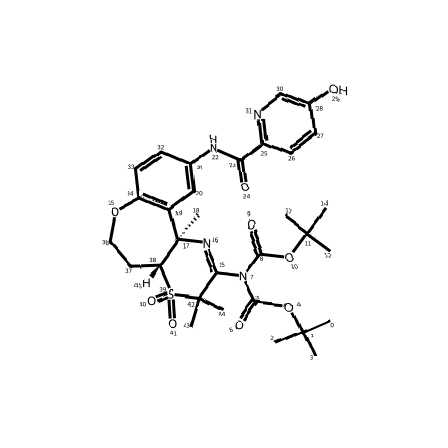 CC(C)(C)OC(=O)N(C(=O)OC(C)(C)C)C1=N[C@]2(C)c3cc(NC(=O)c4ccc(O)cn4)ccc3OCC[C@H]2S(=O)(=O)C1(C)C